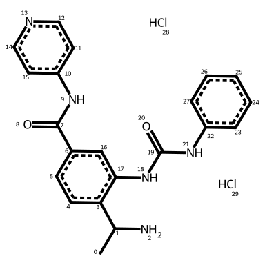 CC(N)c1ccc(C(=O)Nc2ccncc2)cc1NC(=O)Nc1ccccc1.Cl.Cl